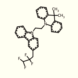 CC1(C)c2ccccc2N(CCn2c3ccccc3c3cc(CC(F)(F)C(F)F)ccc32)c2ccccc21